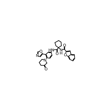 O=C1CCCN(c2ccc(NC(=O)C3(NC(=O)c4cc5ccccc5o4)CCCCC3)cc2-c2cnco2)C1